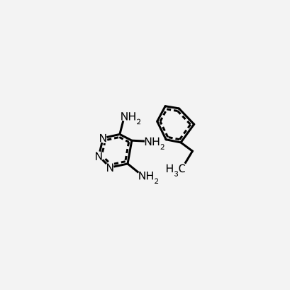 CCc1ccccc1.Nc1nnnc(N)c1N